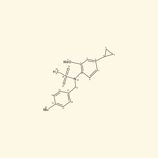 COc1cc(C2CC2)ccc1N(Cc1ccc(C(C)(C)C)cc1)S(C)(=O)=O